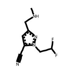 CNCc1cc(C#N)n(CC(F)F)n1